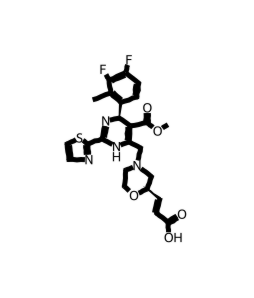 COC(=O)C1=C(CN2CCO[C@H](/C=C/C(=O)O)C2)NC(c2nccs2)=N[C@H]1c1ccc(F)c(F)c1C